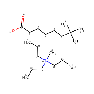 CC(C)(C)CCCCCC(=O)[O-].CCC[N+](C)(CCC)CCC